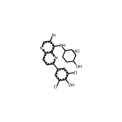 CC(=O)c1cnc2ccc(-c3cc(Cl)c(O)c(Cl)c3)nc2c1NC1CCC(O)CC1.Cl